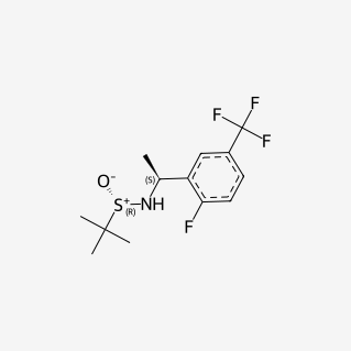 C[C@H](N[S@@+]([O-])C(C)(C)C)c1cc(C(F)(F)F)ccc1F